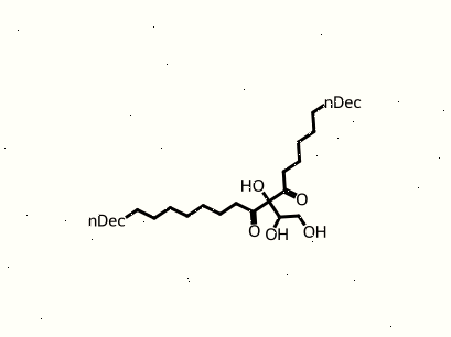 CCCCCCCCCCCCCCCCCC(=O)C(O)(C(=O)CCCCCCCCCCCCCCC)C(O)CO